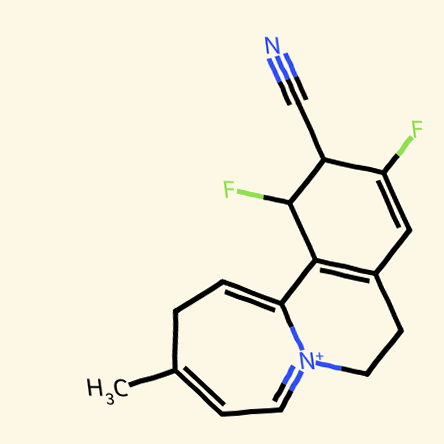 CC1=CC=[N+]2CCC3=C(C2=CC1)C(F)C(C#N)C(F)=C3